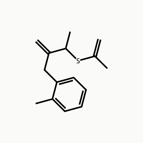 C=C(C)SC(C)C(=C)Cc1ccccc1C